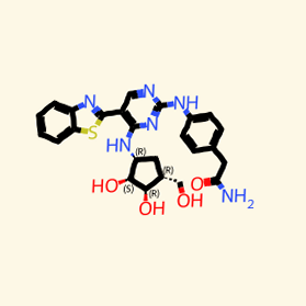 NC(=O)Cc1ccc(Nc2ncc(-c3nc4ccccc4s3)c(N[C@@H]3C[C@H](CO)[C@@H](O)[C@H]3O)n2)cc1